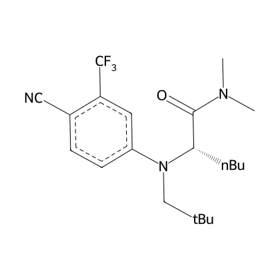 CCCC[C@@H](C(=O)N(C)C)N(CC(C)(C)C)c1ccc(C#N)c(C(F)(F)F)c1